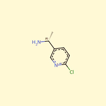 C[C@@H](N)c1ccc(Cl)nc1